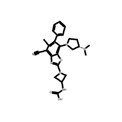 Cc1c(-c2ccccc2)c(N2CC[C@H](N(C)C)C2)c2oc(N3CC(NC(=O)O)C3)nc2c1C#N